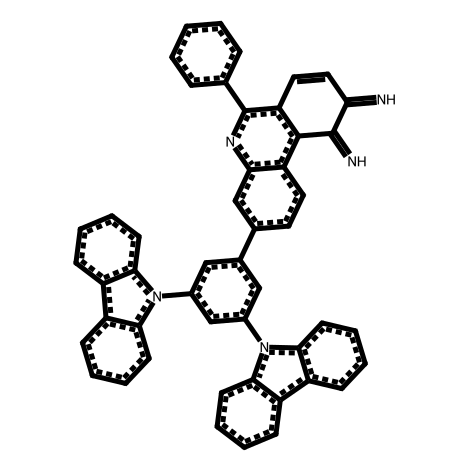 N=C1C=Cc2c(-c3ccccc3)nc3cc(-c4cc(-n5c6ccccc6c6ccccc65)cc(-n5c6ccccc6c6ccccc65)c4)ccc3c2C1=N